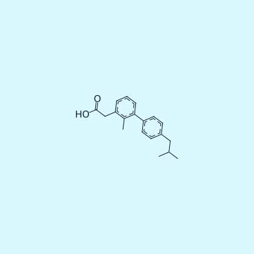 Cc1c(CC(=O)O)cccc1-c1ccc(CC(C)C)cc1